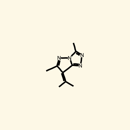 CC(C)=c1c(C)nn2c(C)nnc12